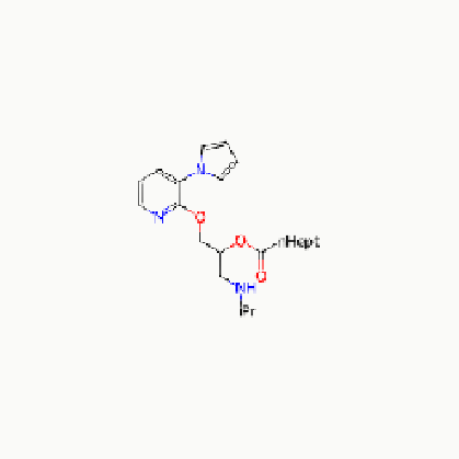 CCCCCCCC(=O)OC(CNC(C)C)COc1ncccc1-n1cccc1